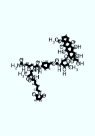 COc1cccc2c1C(=O)c1c(O)c3c(c(O)c1C2=O)C[C@@](O)(C(=O)CO)C[C@@H]3O[C@@H]1C[C@H](NC(=O)OCc2ccc(NC(=O)[C@H](CCCNC(N)=O)NC(=O)[C@@H](NC(=O)CCCCCN3C(=O)C=CC3=O)C(C)C)cc2)[C@@H](O)[C@H](C)O1